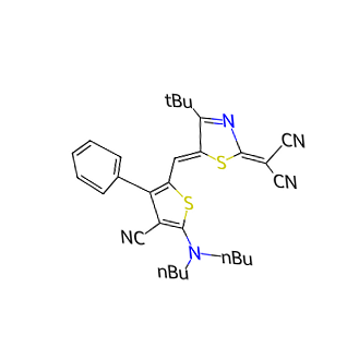 CCCCN(CCCC)c1sc(/C=c2\sc(=C(C#N)C#N)nc2C(C)(C)C)c(-c2ccccc2)c1C#N